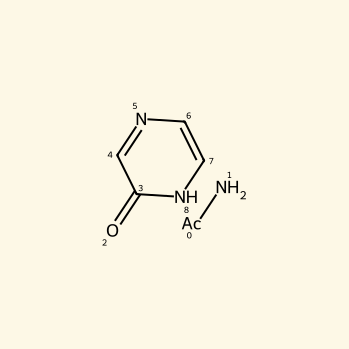 CC(N)=O.O=c1cncc[nH]1